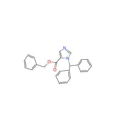 O=C(OCc1ccccc1)c1cncn1C(c1ccccc1)c1ccccc1